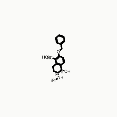 CC(C)N[C@@H]1CCc2c(ccc(OCc3ccccc3)c2C#N)[C@H]1O.Cl